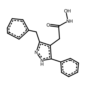 O=C(Cc1c(Cc2ccccc2)n[nH]c1-c1ccccc1)NO